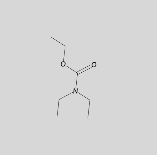 CCOC(=O)N(CC)CC